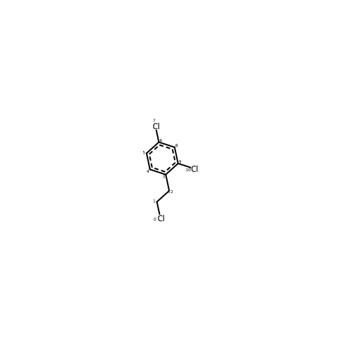 ClC[CH]c1ccc(Cl)cc1Cl